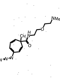 CNCCOCCNC(=O)C1(C)C=CC=C(N=[N+]=[N-])C=C1